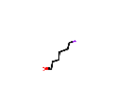 O=CCCCCCI